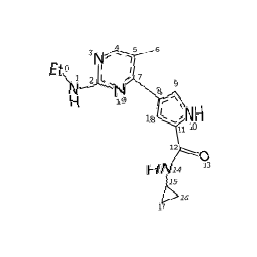 CCNc1ncc(C)c(-c2c[nH]c(C(=O)NC3CC3)c2)n1